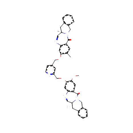 COc1cc2c(cc1OCc1cc(COc3cc4c(cc3C)C(=O)N3Cc5ccccc5C[C@H]3C=N4)ccn1)N=C[C@@H]1Cc3ccccc3CN1C2=O